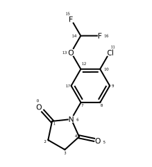 O=C1CCC(=O)N1c1ccc(Cl)c(OC(F)F)c1